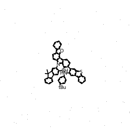 CC(C)(C)c1ccc(Nc2cc3c(cc2-c2ccc4c5c6oc7ccccc7c6ccc5n5c4c2Bc2cc4c(cc2-5)C(C)(C)c2ccccc2-4)sc2ccccc23)cc1